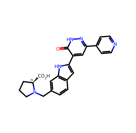 O=C(O)[C@@H]1CCCN1Cc1ccc2cc(-c3cc(-c4ccncc4)n[nH]c3=O)[nH]c2c1